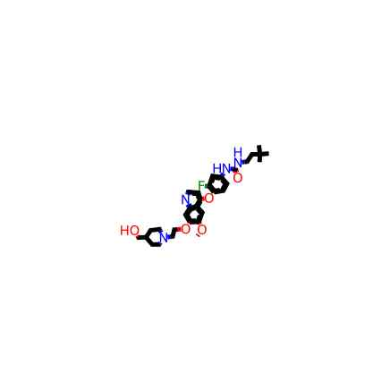 COc1cc2c(Oc3ccc(NC(=O)NCCC(C)(C)C)cc3F)ccnc2cc1OCCN1CCC(CO)CC1